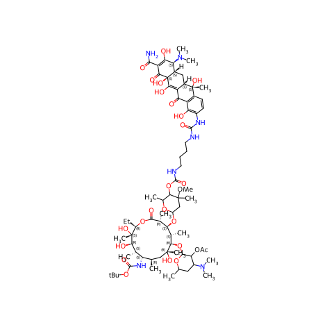 CC[C@H]1OC(=O)[C@H](C)[C@@H](OC2CC(C)(OC)C(OC(=O)NCCCCNC(=O)Nc3ccc4c(c3O)C(=O)C3=C(O)[C@]5(O)C(=O)C(C(N)=O)=C(O)[C@@H](N(C)C)[C@@H]5C[C@@H]3[C@]4(C)O)C(C)O2)[C@H](C)[C@@H](OC2OC(C)CC(N(C)C)C2OC(C)=O)[C@](C)(O)C[C@@H](C)[C@H](NC(=O)OC(C)(C)C)[C@H](C)[C@@H](O)[C@]1(C)O